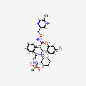 CCc1cnc(CONC(=O)[C@@H]2c3ccccc3C(=O)N([C@H]3CCCC[C@@H]3NS(C)(=O)=O)[C@H]2c2ccc(Cl)cc2Cl)cn1